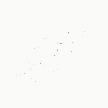 Cc1ccc(O)c(C)c1-c1cc(C(C)(C)CC(C)(C)C)ccc1O